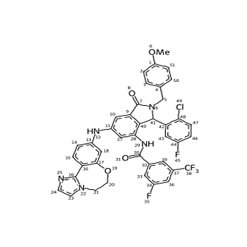 COc1ccc(CN2C(=O)c3cc(Nc4ccc5c(c4)OCCn4ccnc4-5)cc(NC(=O)c4cc(F)cc(C(F)(F)F)c4)c3C2c2cc(F)ccc2Cl)cc1